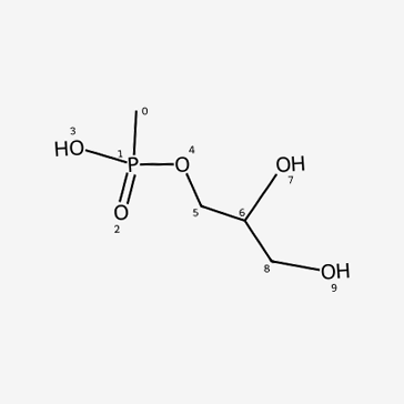 CP(=O)(O)OCC(O)CO